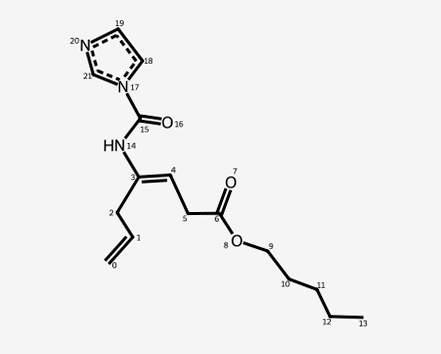 C=CCC(=CCC(=O)OCCCCC)NC(=O)n1ccnc1